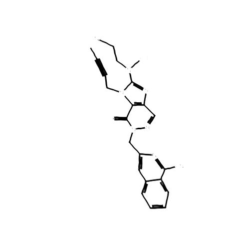 CC#CCn1c(N(C)CCN)nc2cnn(Cc3cc4ccccc4c(C#N)n3)c(=O)c21